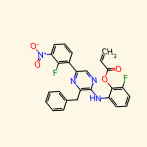 C=CC(=O)Oc1c(F)cccc1Nc1ncc(-c2cccc([N+](=O)[O-])c2F)nc1Cc1ccccc1